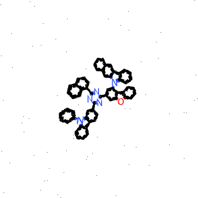 c1ccc(-n2c3ccccc3c3ccc(-c4nc(-c5cc(-n6c7ccccc7c7cc8ccccc8cc76)c6c(c5)oc5ccccc56)nc(-c5cccc6ccccc56)n4)cc32)cc1